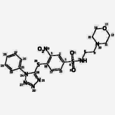 O=[N+]([O-])c1cc(S(=O)(=O)NCCN2CCOCC2)ccc1Sc1nnnn1-c1ccccc1